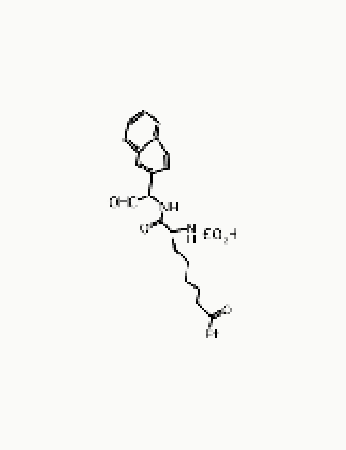 CCC(=O)CCCCC[C@H](NC(=O)O)C(=O)NC(C=O)c1ccc2ccccc2c1